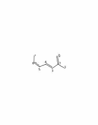 C=C(C)/C=C/C=C\C